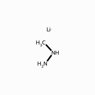 CNN.[Li]